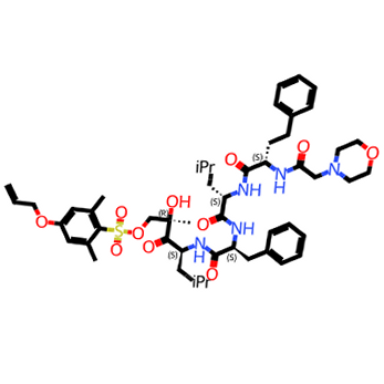 C=CCOc1cc(C)c(S(=O)(=O)OC[C@@](C)(O)C(=O)[C@H](CC(C)C)NC(=O)[C@H](Cc2ccccc2)NC(=O)[C@H](CC(C)C)NC(=O)[C@H](CCc2ccccc2)NC(=O)CN2CCOCC2)c(C)c1